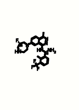 Cc1c([C@@H](N)Nc2nnc(C)c3ccc(N4CCNC[C@H](F)C4)cc23)cccc1C(F)(F)F